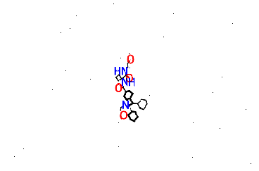 COCCNC(=O)C1(NC(=O)c2ccc3c(C4CCCCC4)c4n(c3c2)CCOc2ccccc2-4)CCC1